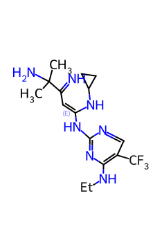 CCNc1nc(N/C(=C/C(=N)C(C)(C)N)NC2CC2)ncc1C(F)(F)F